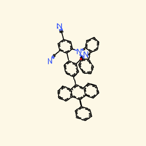 N#Cc1cc(C#N)c(-c2ccc(-c3c4ccccc4c(-c4ccccc4)c4ccccc34)cc2C#N)c(-n2c3ccccc3c3ccccc32)c1